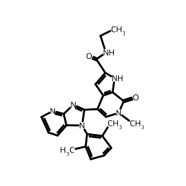 CCNC(=O)c1cc2c(-c3nc4ncccc4n3-c3c(C)cccc3C)cn(C)c(=O)c2[nH]1